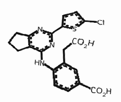 O=C(O)Cc1cc(C(=O)O)ccc1Nc1nc(-c2ccc(Cl)s2)nc2c1CCC2